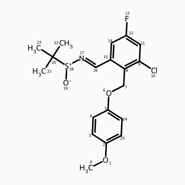 COc1ccc(OCc2c(Cl)cc(F)cc2C=N[S+]([O-])C(C)(C)C)cc1